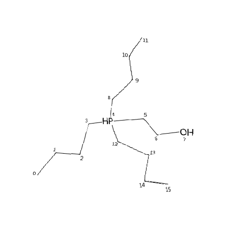 CCCC[PH](CCO)(CCCC)CCCC